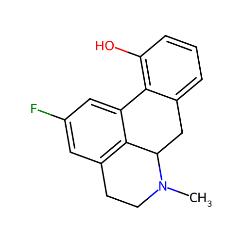 CN1CCc2cc(F)cc3c2C1Cc1cccc(O)c1-3